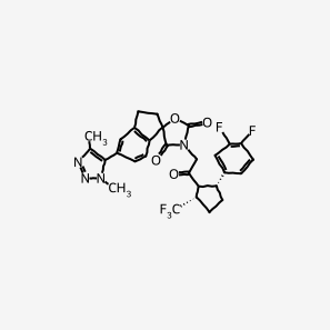 Cc1nnn(C)c1-c1ccc2c(c1)CCC21OC(=O)N(CC(=O)C2[C@H](c3ccc(F)c(F)c3)CC[C@@H]2C(F)(F)F)C1=O